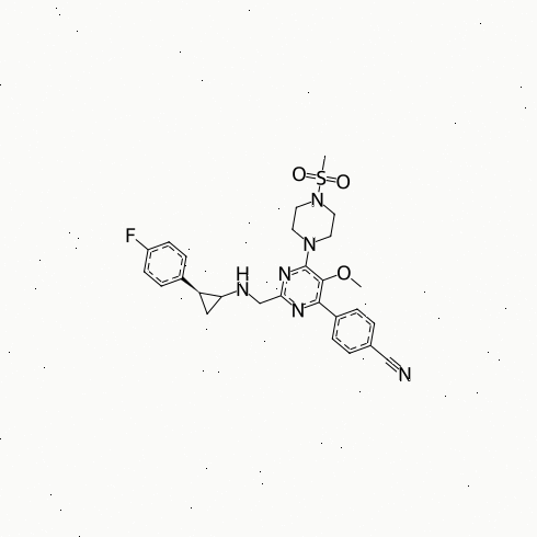 COc1c(-c2ccc(C#N)cc2)nc(CNC2C[C@H]2c2ccc(F)cc2)nc1N1CCN(S(C)(=O)=O)CC1